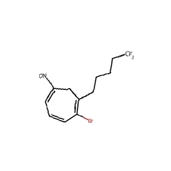 O=NC1=CC=CC(Br)=C(CCCCC(F)(F)F)C1